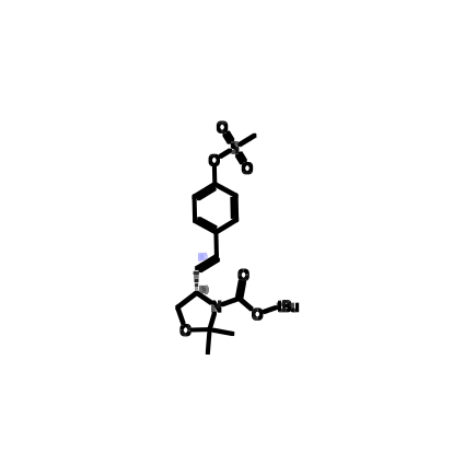 CC(C)(C)OC(=O)N1[C@@H](/C=C/c2ccc(OS(C)(=O)=O)cc2)COC1(C)C